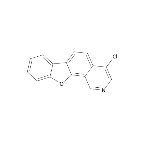 Clc1cncc2c1ccc1c3ccccc3oc21